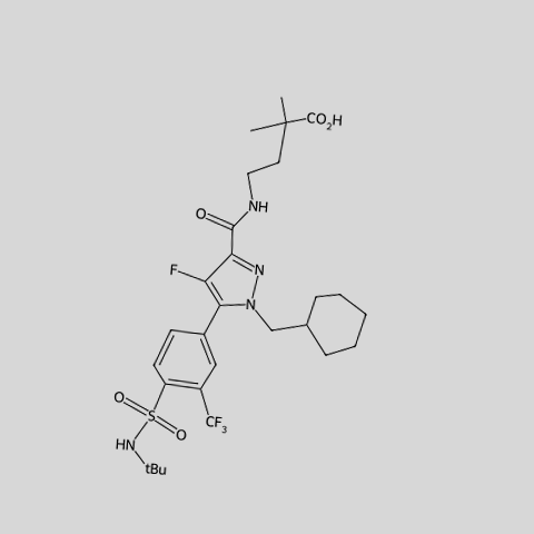 CC(C)(C)NS(=O)(=O)c1ccc(-c2c(F)c(C(=O)NCCC(C)(C)C(=O)O)nn2CC2CCCCC2)cc1C(F)(F)F